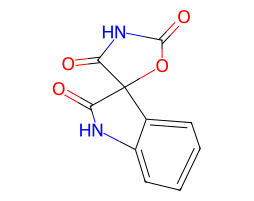 O=C1NC(=O)C2(O1)C(=O)Nc1ccccc12